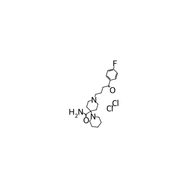 ClCl.NC(=O)C1(N2CCCCC2)CCN(CCCC(=O)c2ccc(F)cc2)CC1